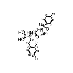 Cc1ccc(S(=O)(=O)N(CC(=O)N[C@@H](CCc2ccc(C)cc2C)B(O)O)C(C)C)cc1